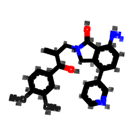 C=C(CN1Cc2c(-c3cccnc3)ccc(N)c2C1=O)C(=O)c1ccc(OC)c(OC)c1